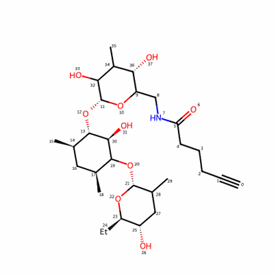 C#CCCCC(=O)NCC1O[C@H](O[C@H]2[C@H](C)C[C@H](C)C(O[C@H]3O[C@H](CC)[C@@H](O)CC3C)[C@@H]2O)C(O)C(C)[C@@H]1O